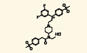 CCN(C(=O)Cc1ccc(S(C)(=O)=O)cc1)C1CCN(CC[C@H](c2ccc(S(C)(=O)=O)cc2)c2cc(F)cc(F)c2)CC1.Cl